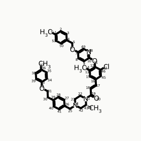 Cc1ccc(COc2ccc(Oc3c(C)cc(C=CC(=O)N4CCN(Cc5ccc(CCOc6ccc(C)cc6)cc5)C[C@H]4C)cc3Cl)nc2)cc1